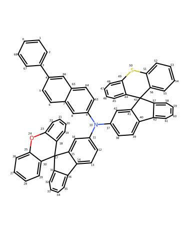 c1ccc(-c2ccc3cc(N(c4ccc5c(c4)C4(c6ccccc6Oc6ccccc64)c4ccccc4-5)c4ccc5c(c4)C4(c6ccccc6Sc6ccccc64)c4ccccc4-5)ccc3c2)cc1